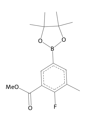 COC(=O)c1cc(B2OC(C)(C)C(C)(C)O2)cc(C)c1F